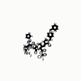 Nc1nc(/C(=N/OC2CCCC2)C(=O)N[C@@H]2C(=O)N3C(C(=O)OC(=O)C(F)(F)F)=C(C=C4CCN(Cc5cc[n+](Cc6ccccc6)cc5)C4=O)CS[C@H]23)cs1